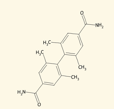 Cc1cc(C(N)=O)cc(C)c1-c1c(C)cc(C(N)=O)cc1C